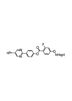 CCCCCCCOc1ccc(C(=O)Oc2ccc(-c3ncc(CCC)cn3)cc2)c(F)c1